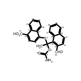 CC(OC(N)=O)(Sc1ccc(C(=O)O)c2ccccc12)c1c(C=O)ccc2ccccc12